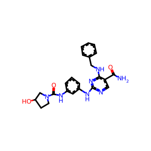 NC(=O)c1cnc(Nc2cccc(NC(=O)N3CCC(O)C3)c2)nc1NCc1ccccc1